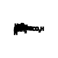 NC(=O)C12CC3C[C@H](C1)C(NC(=O)N1CCN(c4ccc(N5CCC(C(=O)O)CC5)cn4)c4ccccc41)[C@@H](C3)C2